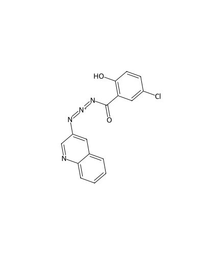 O=C(N=[N+]=Nc1cnc2ccccc2c1)c1cc(Cl)ccc1O